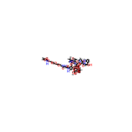 CC[C@H](C)[C@@H]([C@@H](CC(=O)N1CCC[C@H]1[C@H](OC)[C@@H](C)C(=O)N[C@H](C)[C@@H](O)c1ccccc1)OC)N(C)C(=O)[C@@H](NC(=O)[C@H](C(C)C)N(C)C(=O)OCc1cc(NC(=O)CCC(=O)NCCOCCOCCOCCONC(=O)OC(C)(C)C)ccc1OC1OC(C(=O)OC)C(OC(C)=O)C(OC(C)=O)C1OC(C)=O)C(C)C